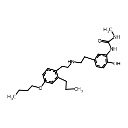 CCCCOc1ccc(CCNCCc2ccc(O)c(NC(=O)NC)c2)c(CCC)c1